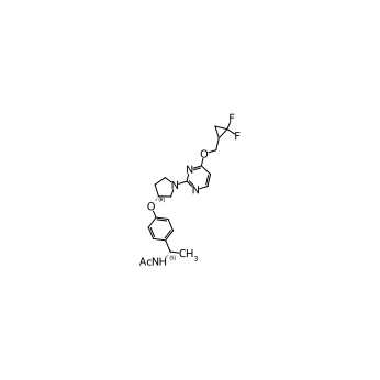 CC(=O)N[C@@H](C)c1ccc(O[C@@H]2CCN(c3nccc(OCC4CC4(F)F)n3)C2)cc1